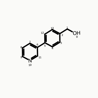 OCc1ccc(-c2c[c]cnc2)cc1